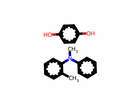 Cc1ccccc1N(C)c1ccccc1.Oc1ccc(O)cc1